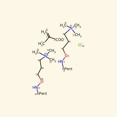 C=C(C)C(=O)[O-].CCCCCNOCCC[N+](C)(C)C.CCCCCNOCCC[N+](C)(C)C.[Cl-]